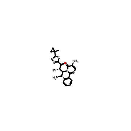 CC(C)[C@H](C(=O)c1nnc(C2(C)CC2)o1)C(C(N)=O)n1c(-c2ccccc2)ncc(N)c1=O